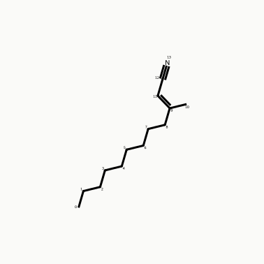 CCCCCCCCCC(C)=CC#N